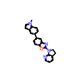 Cn1ccc2cc(-c3ccc4oc(N5CCc6cccnc65)nc4c3)ccc21